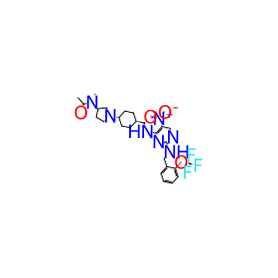 CC(=O)N(C)C1CCN([C@H]2CC[C@H](CNc3nc(NCc4ccccc4OC(F)(F)F)ncc3[N+](=O)[O-])CC2)C1